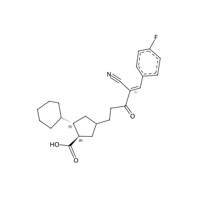 N#C/C(=C\c1ccc(F)cc1)C(=O)CCC1C[C@@H](C(=O)O)[C@H](C2CCCCC2)C1